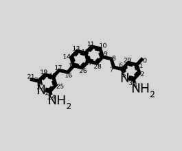 Cc1cc(N)nc(CCc2ccc3ccc(CCc4cc(C)nc(N)c4)cc3c2)c1